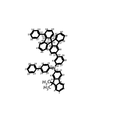 CC1(C)c2ccccc2-c2ccc(N(c3ccc(-c4ccccc4)cc3)c3cccc(-c4ccc5c(c4)-c4ccccc4C54c5ccccc5-c5c(-c6ccccc6)cccc54)c3)cc21